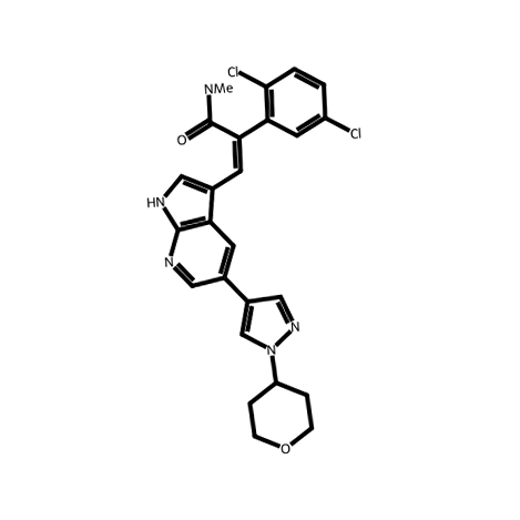 CNC(=O)/C(=C\c1c[nH]c2ncc(-c3cnn(C4CCOCC4)c3)cc12)c1cc(Cl)ccc1Cl